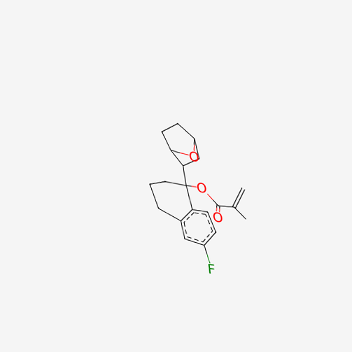 C=C(C)C(=O)OC1(C2CC3CCC2O3)CCCc2cc(F)ccc21